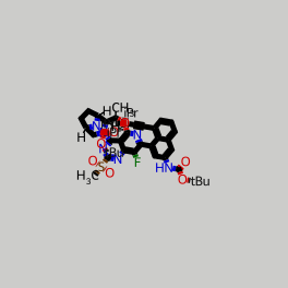 CC(C)[Si](C#Cc1cccc2cc(NC(=O)OC(C)(C)C)cc(-c3nc4c5c(nc(S(C)(=O)=O)nc5c3F)N3C[C@H]5CC[C@@H]([C@H]3[C@H](C)O4)N5C(=O)OC(C)(C)C)c12)(C(C)C)C(C)C